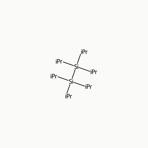 CC(C)[Si](C(C)C)(C(C)C)[Si](C(C)C)(C(C)C)C(C)C